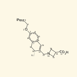 CCCC(C)COc1ccc2c(c1)C[C@@H](C)C(CN1CC(C(=O)O)C1)=C2